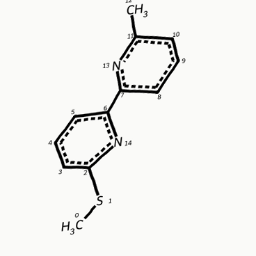 CSc1cccc(-c2cccc(C)n2)n1